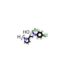 CN1CCCC1CCN(C(=O)O)c1ccc(Cl)cc1Br